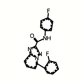 O=C(Nc1ccc(F)cc1)c1nc2cccc(-c3ccccc3F)n2n1